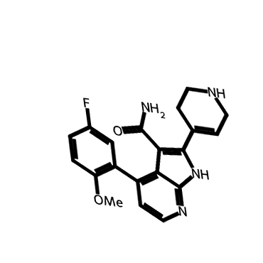 COc1ccc(F)cc1-c1ccnc2[nH]c(C3=CCNCC3)c(C(N)=O)c12